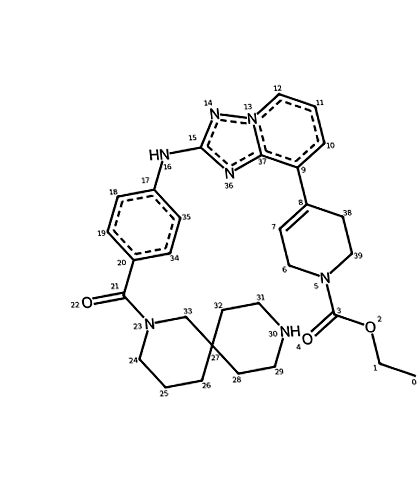 CCOC(=O)N1CC=C(c2cccn3nc(Nc4ccc(C(=O)N5CCCC6(CCNCC6)C5)cc4)nc23)CC1